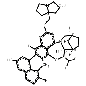 Cc1c(F)ccc2cc(O)cc(-c3nc4c5c(nc(OC[C@@]67CCCN6C[C@H](F)C7)nc5c3F)N3C[C@H]5CC[C@H](N5)[C@H]3[C@@H](C(F)F)O4)c12